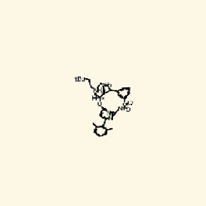 Cc1cccc(C)c1-c1cc2nc(n1)NS(=O)(=O)c1cccc(c1)C1CCN(CCC(C)(C)C)C[C@H](O2)[C@H]1CC(C)C